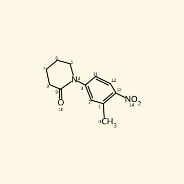 Cc1cc(N2CCCCC2=O)ccc1[N+](=O)[O-]